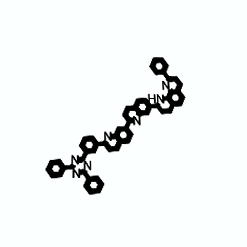 C1=CC(c2ccc3ccc(-c4ccc5ccc(-c6cccc(-c7nc(-c8ccccc8)nc(-c8ccccc8)n7)c6)nc5c4)nc3c2)Nc2c1ccc1ccc(-c3ccccc3)nc21